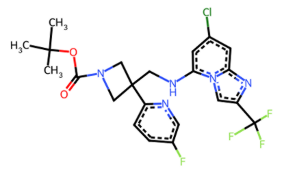 CC(C)(C)OC(=O)N1CC(CNc2cc(Cl)cc3nc(C(F)(F)F)cn23)(c2ccc(F)cn2)C1